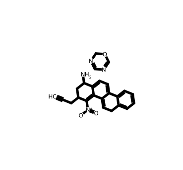 C#CCC1CC(N)c2ccc3c(c2=C1[N+](=O)[O-])=CCc1ccccc1-3.C1=NC=NCO1